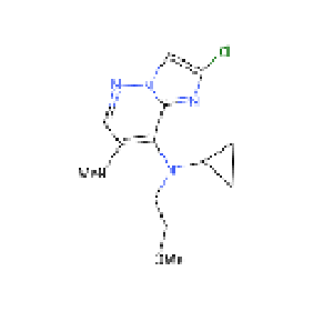 CNc1cnn2cc(Cl)nc2c1N(CCOC)C1CC1